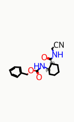 N#CCNC(=O)[C@@H]1CCCC[C@H]1NC(=O)OCc1ccccc1